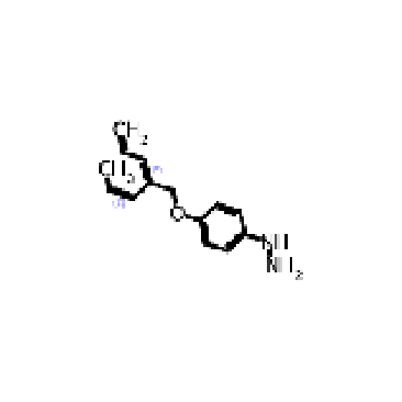 C=C/C=C(\C=C/C)COc1ccc(NN)cc1